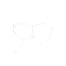 Oc1cccc2c(I)cccc12